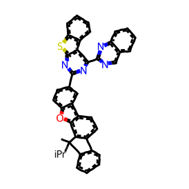 CC(C)C1(C)c2ccccc2-c2ccc3c(oc4ccc(-c5nc(-c6ncc7ccccc7n6)c6c(n5)sc5ccccc56)cc43)c21